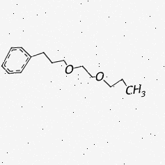 CCCOCCOCCCc1cc[c]cc1